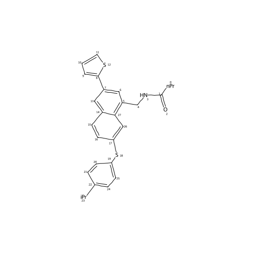 CCCC(=O)NCc1cc(-c2cccs2)cc2ccc(Sc3ccc(C(C)C)cc3)cc12